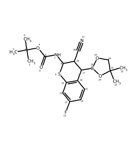 CC(C)(C)OC(=O)NC1Sc2cc(F)ccc2C(B2OCC(C)(C)O2)C1C#N